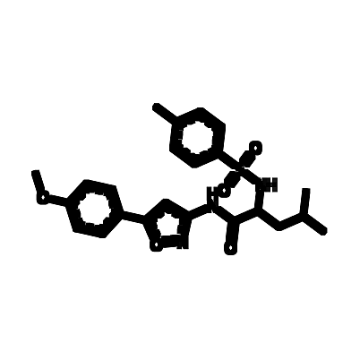 COc1ccc(-c2cc(NC(=O)C(CC(C)C)NS(=O)(=O)c3ccc(C)cc3)no2)cc1